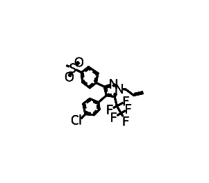 C=CCn1nc(-c2ccc(S(C)(=O)=O)cc2)c(-c2ccc(Cl)cc2)c1C(F)(F)C(F)(F)F